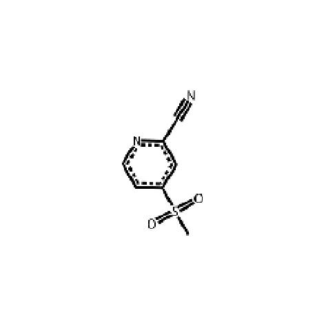 CS(=O)(=O)c1ccnc(C#N)c1